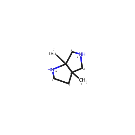 CC(C)(C)C12CNCC1(C)CCN2